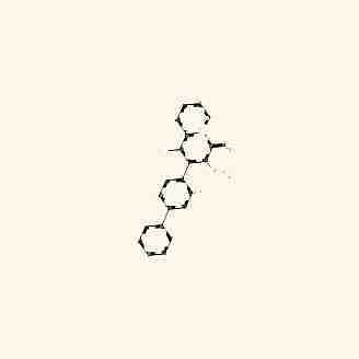 CCOC(=O)c1c(-c2ccc(-c3ccccc3)cc2)c(C#N)c(=O)n2ccccc12